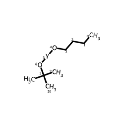 CCCC[O][Y][O]C(C)(C)C